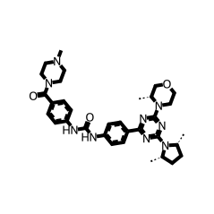 C[C@@H]1COCCN1c1nc(-c2ccc(NC(=O)Nc3ccc(C(=O)N4CCN(C)CC4)cc3)cc2)nc(N2[C@H](C)CC[C@@H]2C)n1